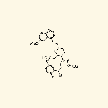 CCC(CCN(C(=O)OC(C)(C)C)[C@@H]1CC[C@@H](CCc2ccnc3ccc(OC)cc23)O[C@@H]1CC(=O)O)c1cc(F)ccc1F